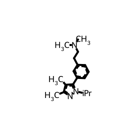 Cc1nn(C(C)C)c(-c2cccc(CCN(C)C)c2)c1C